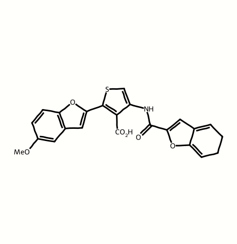 COc1ccc2oc(-c3scc(NC(=O)c4cc5c(o4)=CCCC=5)c3C(=O)O)cc2c1